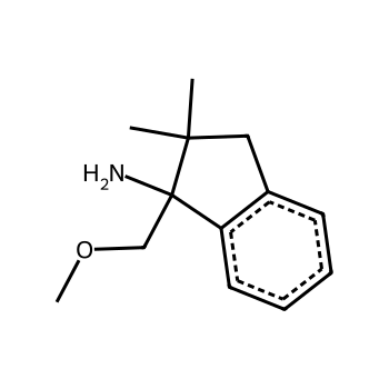 COCC1(N)c2ccccc2CC1(C)C